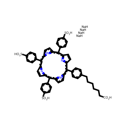 O=C(O)CCCCCCc1ccc(-c2c3nc(c(-c4ccc(S(=O)(=O)O)cc4)c4ccc([nH]4)c(-c4ccc(S(=O)(=O)O)cc4)c4nc(c(-c5ccc(S(=O)(=O)O)cc5)c5ccc2[nH]5)C=C4)C=C3)cc1.[NaH].[NaH].[NaH].[NaH]